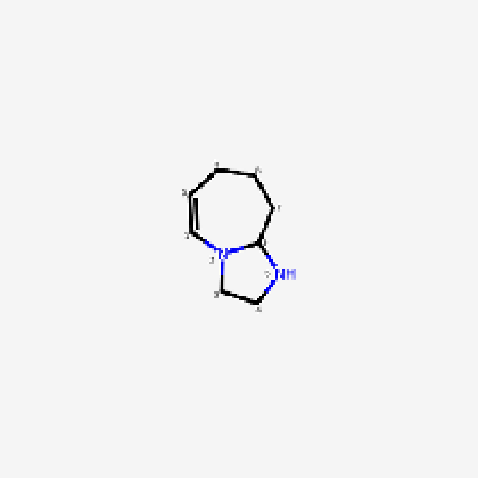 C1=CN2CCNC2CCC1